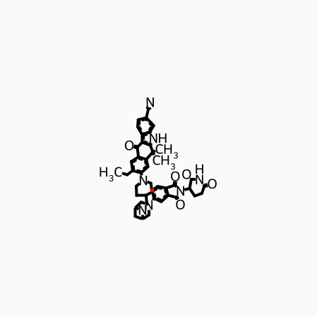 CCc1cc2c(cc1N1CCC(CN3C4CC3CN(c3ccc5c(c3)C(=O)N(C3CCC(=O)NC3=O)C5=O)C4)CC1)C(C)(C)c1[nH]c3cc(C#N)ccc3c1C2=O